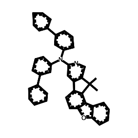 CC1(C)c2cnc(N(c3cccc(-c4ccccc4)c3)c3cccc(-c4ccccc4)c3)cc2-c2ccc3oc4ccccc4c3c21